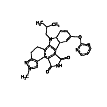 CC(C)CN1c2c3c(c4c(c2C2C=C(Oc5ncccn5)C=CC21)C(=O)NC4=O)-c1cn(C)nc1CC3